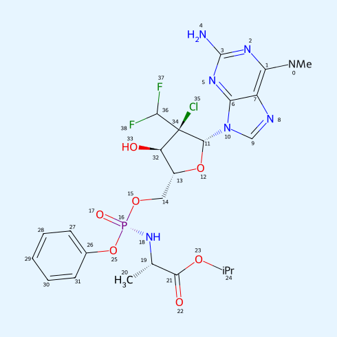 CNc1nc(N)nc2c1ncn2[C@@H]1O[C@H](CO[P@@](=O)(N[C@@H](C)C(=O)OC(C)C)Oc2ccccc2)[C@@H](O)[C@]1(Cl)C(F)F